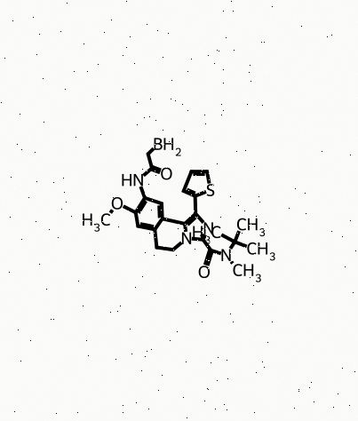 BCC(=O)Nc1cc2c(cc1OC)CCn1c(C(=O)N(C)C(C)(C)C)nc(-c3cccs3)c1-2